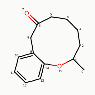 CC1CCCCC(=O)Cc2ccccc2O1